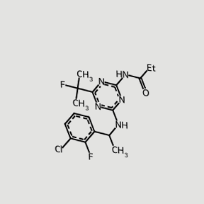 CCC(=O)Nc1nc(NC(C)c2cccc(Cl)c2F)nc(C(C)(C)F)n1